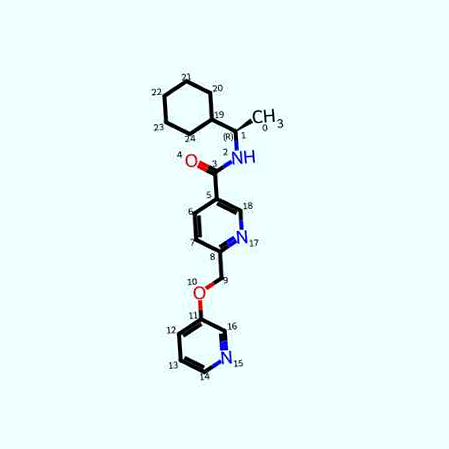 C[C@@H](NC(=O)c1ccc(COc2cccnc2)nc1)C1CCCCC1